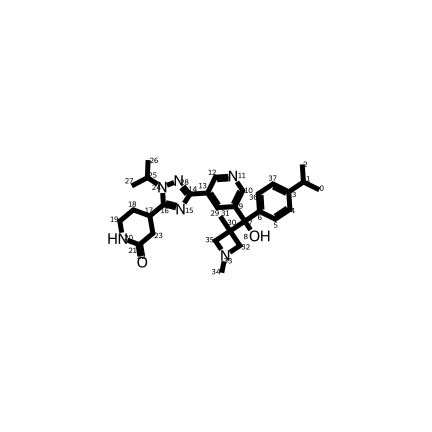 CC(C)c1ccc(C(O)(c2cncc(-c3nc(C4CCNC(=O)C4)n(C(C)C)n3)c2)C2(C)CN(C)C2)cc1